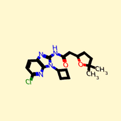 CC1(C)CCC(CC(=O)Nc2nc3ccc(Cl)nc3n2C2CCC2)O1